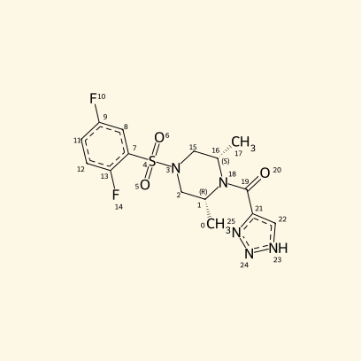 C[C@@H]1CN(S(=O)(=O)c2cc(F)ccc2F)C[C@H](C)N1C(=O)c1c[nH]nn1